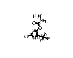 NNC(=O)Oc1sc(Cl)nc1C(F)(F)F